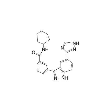 O=C(NC1CCCCC1)c1cccc(-c2n[nH]c3ccc(-c4nc[nH]n4)cc23)c1